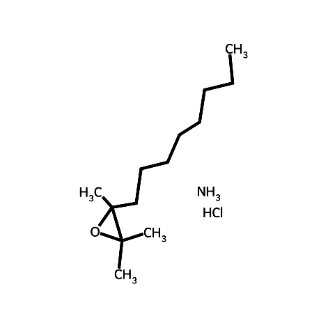 CCCCCCCCC1(C)OC1(C)C.Cl.N